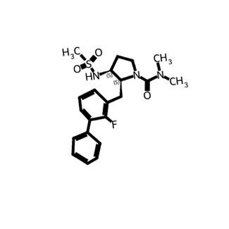 CN(C)C(=O)N1CC[C@H](NS(C)(=O)=O)[C@@H]1Cc1cccc(-c2ccccc2)c1F